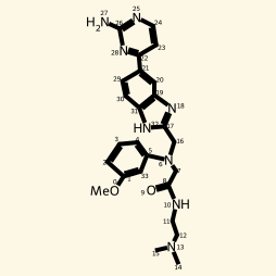 COc1cccc(N(CC(=O)NCCN(C)C)Cc2nc3cc(-c4ccnc(N)n4)ccc3[nH]2)c1